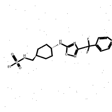 CCS(=O)(=O)NC[C@H]1CC[C@H](Nc2nc(C(F)(F)c3ccccc3)no2)CC1